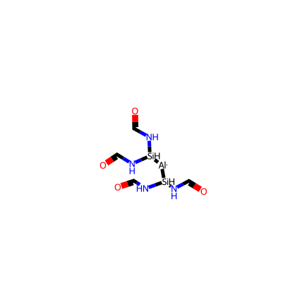 O=CN[SiH](NC=O)[Al][SiH](NC=O)NC=O